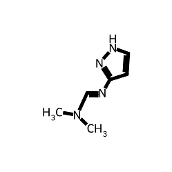 CN(C)/C=N/c1cc[nH]n1